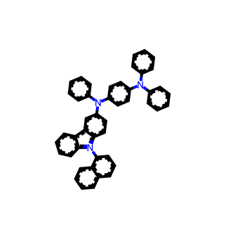 c1ccc(N(c2ccccc2)c2ccc(N(c3ccccc3)c3ccc4c(c3)c3ccccc3n4-c3cccc4ccccc34)cc2)cc1